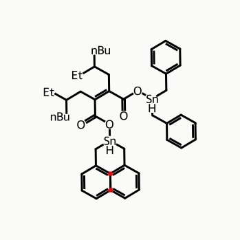 CCCCC(CC)C/C(C(=O)[O][SnH]([CH2]c1ccccc1)[CH2]c1ccccc1)=C(\CC(CC)CCCC)C(=O)[O][SnH]([CH2]c1ccccc1)[CH2]c1ccccc1